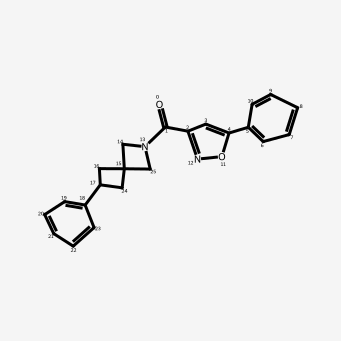 O=C(c1cc(-c2ccccc2)on1)N1CC2(CC(c3ccccc3)C2)C1